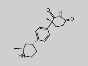 C[C@H]1C[C@H](c2ccc([C@@]3(C)CCC(=O)NC3=O)cc2)CCN1